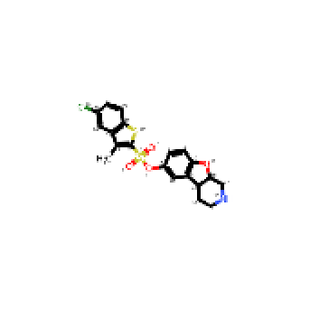 Cc1c(S(=O)(=O)Oc2ccc3c(c2)C2CCNCC2O3)sc2ccc(Cl)cc12